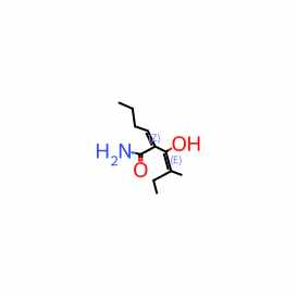 CCC/C=C(C(N)=O)/C(O)=C(/C)CC